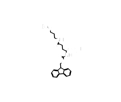 CC(C)(C)OCCCNC(=O)CC[C@H](NC(=O)OCC1c2ccccc2-c2ccccc21)C(=O)O